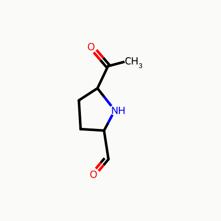 CC(=O)C1CCC(C=O)N1